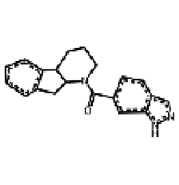 O=C(c1ccc2cn[nH]c2c1)N1CCCC2c3ccccc3CC21